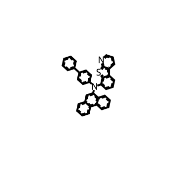 c1ccc(-c2ccc(N(c3cc4ccccc4c4ccccc34)c3cccc4c3sc3ncccc34)cc2)cc1